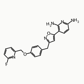 Nc1ccc(-c2cc(Cc3ccc(OCc4cccc(F)n4)cc3)no2)c(N)n1